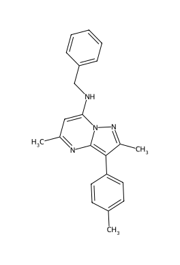 Cc1ccc(-c2c(C)nn3c(NCc4ccccc4)cc(C)nc23)cc1